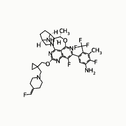 Cc1c(F)c(N)cc(-c2nc3c4c(nc(OCC5(CN6CCC(=CF)CC6)CC5)nc4c2F)N2C[C@H]4CC[C@H](N4)[C@H]2[C@H](C)O3)c1C(F)(F)F